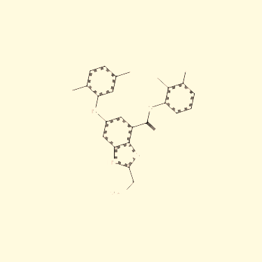 COCc1nc2c(C(=O)Nc3cccc(Cl)c3C)cc(Nc3cc(C)ccc3Cl)cc2[nH]1